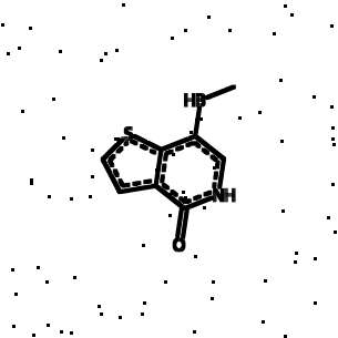 CBc1c[nH]c(=O)c2ccsc12